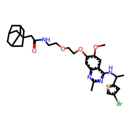 COc1cc2c(NC(C)c3cc(Br)cs3)nc(C)nc2cc1OCCOCCNC(=O)CC12CC3CC(CC(C3)C1)C2